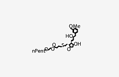 CCCCCOCCOC(=O)CCCSCC[C@H]1C(=O)C[C@@H](O)[C@@H]1/C=C/[C@@H](O)Cc1cccc(COC)c1